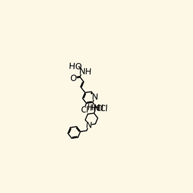 Cl.Cl.O=C(/C=C/c1cnc(NC2CCN(Cc3ccccc3)CC2)c(Cl)c1)NO